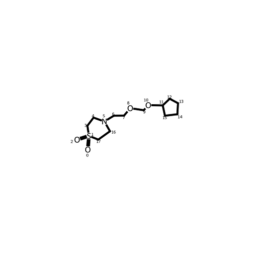 O=S1(=O)CCN(CCOCOC2CCCC2)CC1